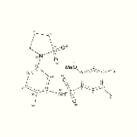 COc1cc(C)c(C)cc1S(=O)(=O)Nc1cc(N2CCCS2(=O)=O)ccc1C